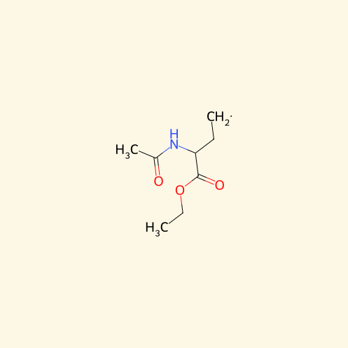 [CH2]CC(NC(C)=O)C(=O)OCC